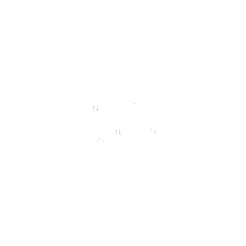 CCCCN(CC)C([NH])=O